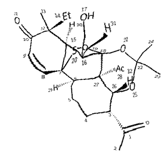 C=C(C)[C@@H]1CC[C@H]2[C@]34C=CC(=O)[C@@](C)(CC)[C@H]3[C@H](O)C3(OS4)OC(C)(C)O[C@H]1[C@@]23C(C)=O